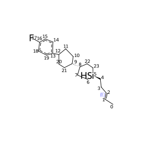 C/C=C/CC[Si@H]1CC[C@H](C2CCC(c3ccc(F)cc3)CC2)CC1